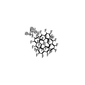 CCC(C)[NH+](C(C)CC)C(C)CC.Fc1c(F)c(F)c2c([B-](c3c(F)c(F)c(F)c4c(F)c(F)c(F)c(F)c34)(c3c(F)c(F)c(F)c4c(F)c(F)c(F)c(F)c34)c3c(F)c(F)c(F)c4c(F)c(F)c(F)c(F)c34)c(F)c(F)c(F)c2c1F